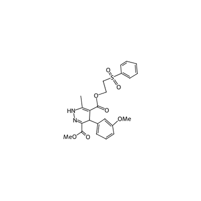 COC(=O)C1=NNC(C)=C(C(=O)OCCS(=O)(=O)c2ccccc2)C1c1cccc(OC)c1